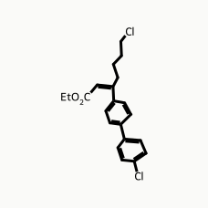 CCOC(=O)/C=C(/CCCCCl)c1ccc(-c2ccc(Cl)cc2)cc1